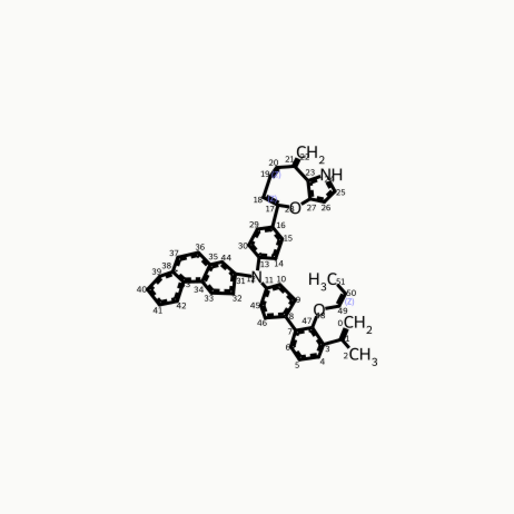 C=C(C)c1cccc(-c2ccc(N(c3ccc(/C4=C/C=C\C(=C)c5[nH]ccc5O4)cc3)c3ccc4c(ccc5ccccc54)c3)cc2)c1O/C=C\C